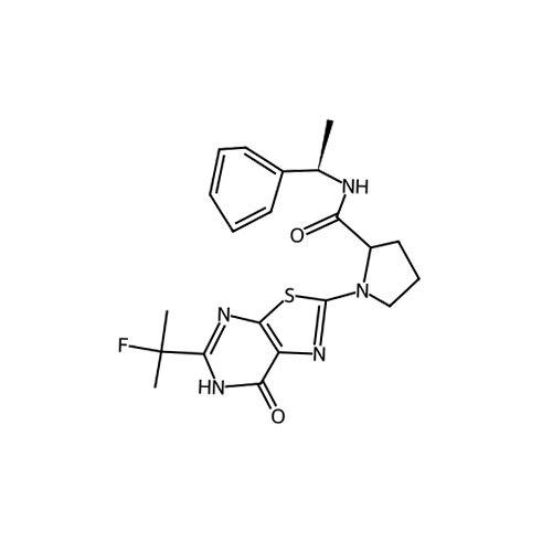 C[C@@H](NC(=O)C1CCCN1c1nc2c(=O)[nH]c(C(C)(C)F)nc2s1)c1ccccc1